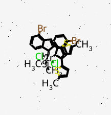 Cc1ccc(C2=Cc3c(Br)cccc3[CH]2[Zr]([Cl])([Cl])([CH]2C(c3ccc(C)s3)=Cc3c(Br)cccc32)[SiH](C)C)s1